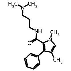 Cc1cn(C)c(C(=O)NCCCN(C)C)c1-c1ccccc1